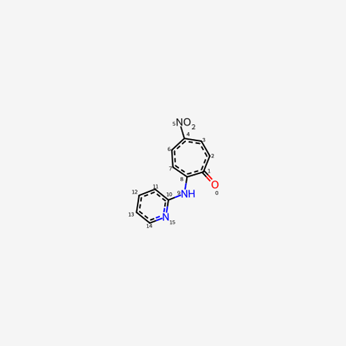 O=c1ccc([N+](=O)[O-])ccc1Nc1ccccn1